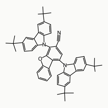 CC(C)(C)c1ccc2c(c1)c1cc(C(C)(C)C)ccc1n2-c1c(C#N)cc(-n2c3ccc(C(C)(C)C)cc3c3cc(C(C)(C)C)ccc32)c2c1oc1ccccc12